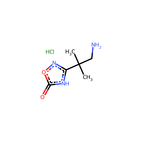 CC(C)(CN)c1noc(=O)[nH]1.Cl